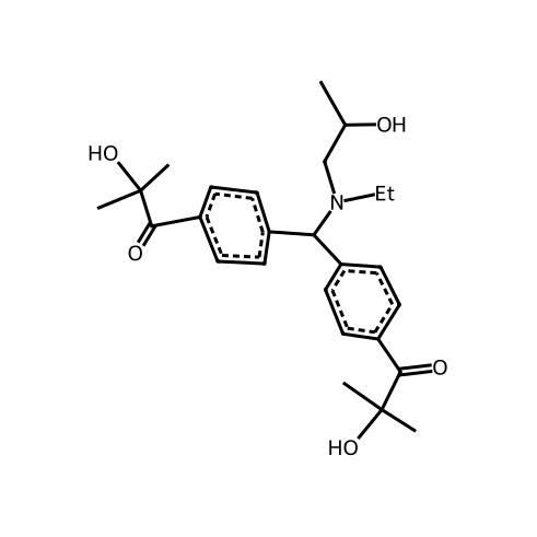 CCN(CC(C)O)C(c1ccc(C(=O)C(C)(C)O)cc1)c1ccc(C(=O)C(C)(C)O)cc1